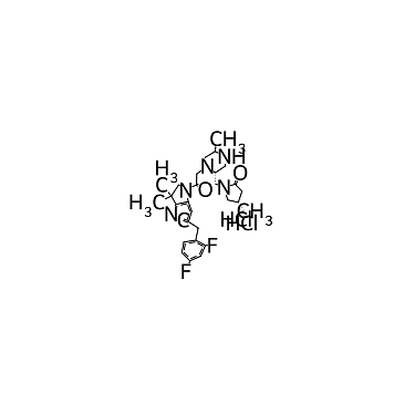 C[C@H]1CC(=O)N(C[C@H]2CN[C@H](C)CN2CC(=O)N2CC(C)(C)c3ncc(Cc4ccc(F)cc4F)cc32)C1.Cl.Cl